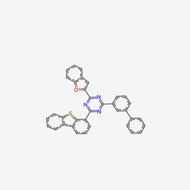 c1ccc(-c2cccc(-c3nc(-c4cc5ccccc5o4)nc(-c4cccc5c4sc4ccccc45)n3)c2)cc1